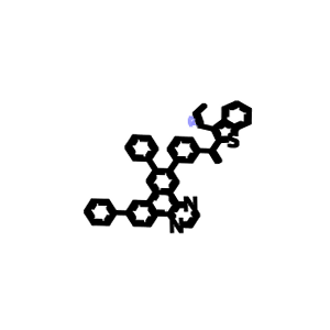 C=C(c1cccc(-c2cc3c(cc2-c2ccccc2)c2cc(-c4ccccc4)ccc2c2nccnc32)c1)c1sc2ccccc2c1/C=C\C